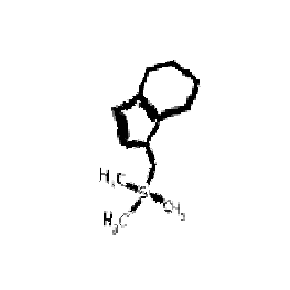 C[Si](C)(C)C[C]1C=CC2=C1CCCC2